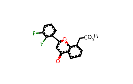 O=C(O)Cc1cccc2c(=O)cc(-c3cccc(F)c3F)oc12